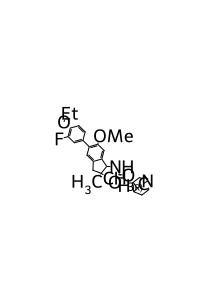 CCOc1ccc(-c2cc3c(cc2OC)C(NC(=O)O[C@H]2CN4CCC2CC4)C(C)(C)C3)cc1F